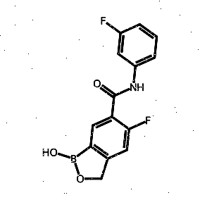 O=C(Nc1cccc(F)c1)c1cc2c(cc1F)COB2O